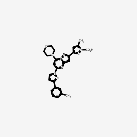 Cc1cccc(-c2ccn(-c3cc(N4CCOCC4)n4nc(-c5cc(C)n(C(=O)O)n5)cc4n3)n2)c1